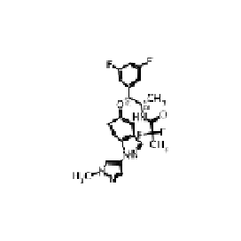 C[C@H](NC(=O)C(C)(F)F)[C@H](Oc1ccc2c(cnn2-c2cnn(C)c2)c1)c1cc(F)cc(F)c1